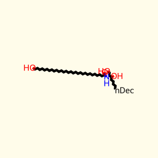 CCCCCCCCCCCCCCCC(O)C(CO)NC(=O)CCCCCCCCCCCCCCCCCCCCCCCCCCCCCO